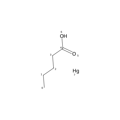 CCCCC(=O)O.[Hg]